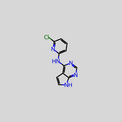 Clc1cccc(Nc2ncnc3[nH]ccc23)n1